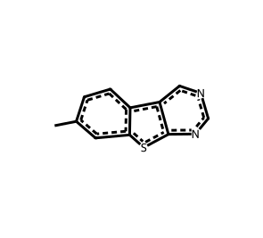 Cc1ccc2c(c1)sc1ncncc12